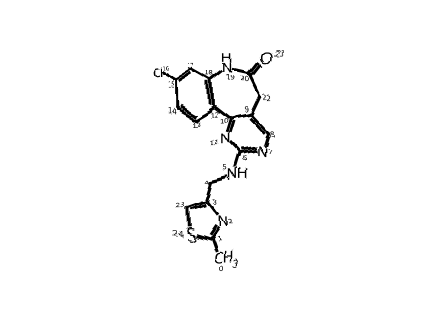 Cc1nc(CNc2ncc3c(n2)-c2ccc(Cl)cc2NC(=O)C3)cs1